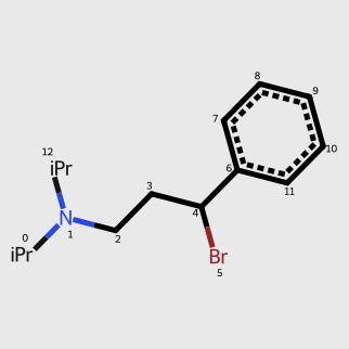 CC(C)N(CCC(Br)c1ccccc1)C(C)C